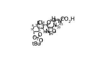 CC(C)(C)OC(=O)Oc1cccc(F)c1C1=C(Cl)C2=C(C(=O)N3CCN(C(=O)O)C[C@@H]3CO2)N(F)C1